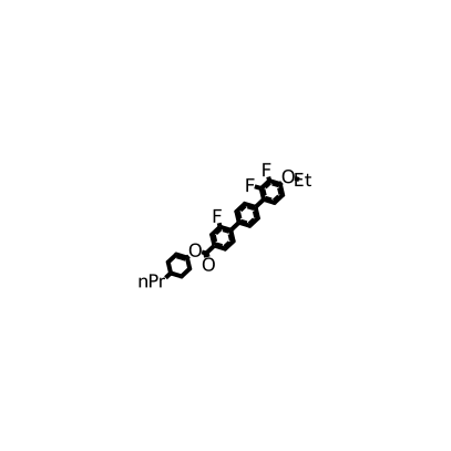 CCCC1CC=C(OC(=O)c2ccc(-c3ccc(-c4ccc(OCC)c(F)c4F)cc3)c(F)c2)CC1